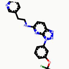 FC(F)(F)Oc1cccc(-n2nnc3ccc(NCCc4cccnc4)nc32)c1